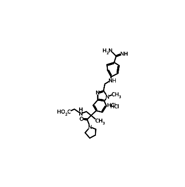 Cl.Cl.Cn1c(CNc2ccc(C(=N)N)cc2)nc2cc(C(C)(CNCC(=O)O)C(=O)N3CCCC3)ccc21